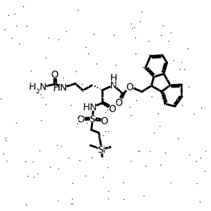 C[Si](C)(C)CCS(=O)(=O)NC(=O)[C@H](CCCNC(N)=O)NC(=O)OCC1c2ccccc2-c2ccccc21